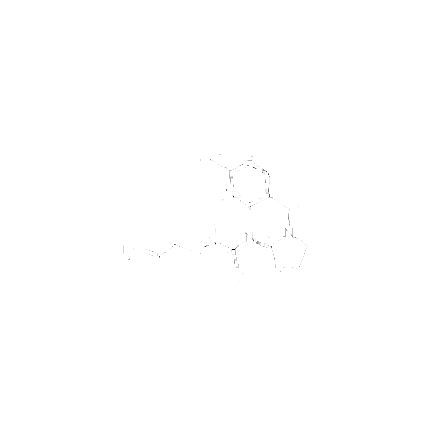 C=CCONC(=O)/N=C1\SCCN1Cc1ccc(Cl)nc1